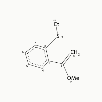 C=C(OC)c1ccccc1SCC